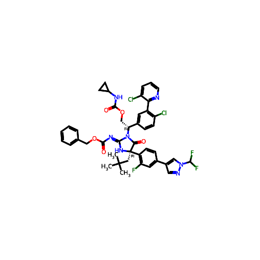 CC(C)(C)C[C@]1(c2ccc(-c3cnn(C(F)F)c3)cc2F)NC(=NC(=O)OCc2ccccc2)N([C@H](COC(=O)NC2CC2)c2ccc(Cl)c(-c3ncccc3Cl)c2)C1=O